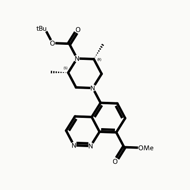 COC(=O)c1ccc(N2C[C@@H](C)N(C(=O)OC(C)(C)C)[C@@H](C)C2)c2ccnnc12